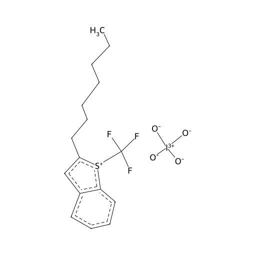 CCCCCCCc1cc2ccccc2[s+]1C(F)(F)F.[O-][I+3]([O-])([O-])[O-]